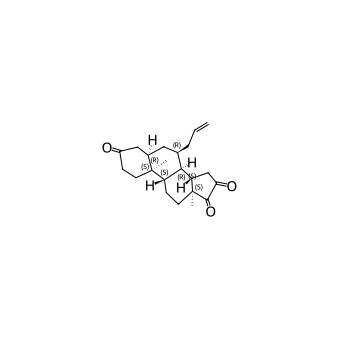 C=CC[C@@H]1C[C@@H]2CC(=O)CC[C@]2(C)[C@H]2CC[C@]3(C)C(=O)C(=O)C[C@H]3[C@H]12